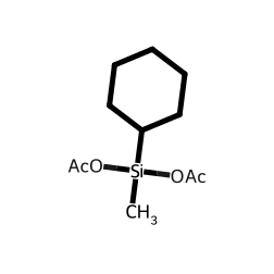 CC(=O)O[Si](C)(OC(C)=O)C1CCCCC1